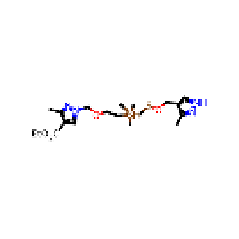 CCOC(=O)c1cn(COCC[SH](C)(C)(C)CSOCc2c[nH]nc2C)nc1C